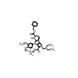 CCOC(=O)c1c2c(cn1CN(CC)CC)C1=CCC(C(=O)OCc3ccccc3)NC1=S2c1ccc(OC)c(OC)c1